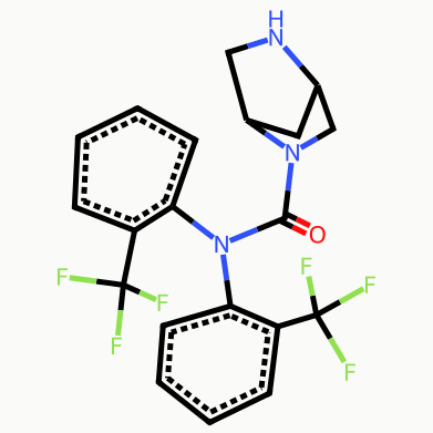 O=C(N(c1ccccc1C(F)(F)F)c1ccccc1C(F)(F)F)N1CC2CC1CN2